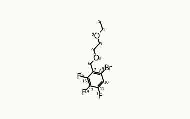 CCOCCOCc1c(Br)cc(F)c(F)c1F